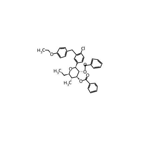 CCOc1ccc(Cc2cc([C@@H]3O[C@H](CC)[C@@H](C)[C@H](OC(=O)c4ccccc4)[C@H]3OC(=O)c3ccccc3)ccc2Cl)cc1